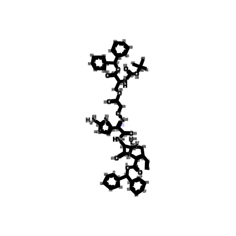 C=CC1=C(C(=O)OC(c2ccccc2)c2ccccc2)N2C(=O)C(NC(=O)/C(=N/OCC(=O)OCC(NC(=O)OC(C)(C)C)C(=O)OC(c3ccccc3)c3ccccc3)c3csc(N)n3)[C@H]2SC1